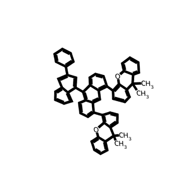 CC1(C)c2ccccc2Oc2c(-c3cccc4c(-c5cc(-c6ccccc6)cc6ccccc56)c5cccc(-c6cccc7c6Oc6ccccc6C7(C)C)c5cc34)cccc21